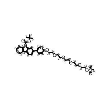 CC(C)(C)OC(=O)n1c2ccncc2c2ccc(-c3ccc(OCCOCCOCCOCCOCCOS(C)(=O)=O)nc3)cc21